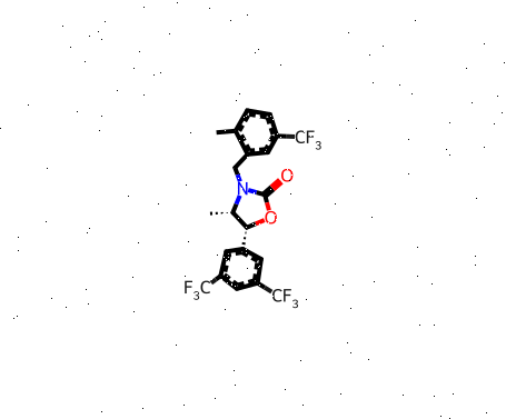 Cc1ccc(C(F)(F)F)cc1CN1C(=O)O[C@H](c2cc(C(F)(F)F)cc(C(F)(F)F)c2)[C@@H]1C